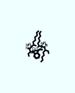 CCCCCCC(C)C1(OC(=O)c2ccccc2C(=O)OC2(C(C)CCCCCC)N=NN=C2C(CC)CCCCC)N=NN=C1C(CC)CCCCC